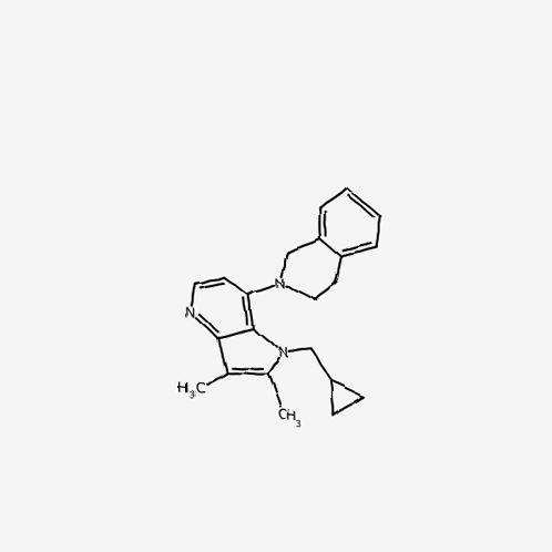 Cc1c(C)n(CC2CC2)c2c(N3CCc4ccccc4C3)ccnc12